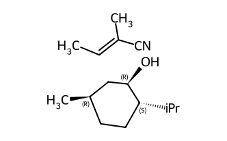 CC(C)[C@@H]1CC[C@@H](C)C[C@H]1O.CC=C(C)C#N